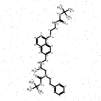 C[C@H](CN(CCc1ccccc1)C(=O)OC(C)(C)C)NCc1ccc2c(SCCNC(=O)OC(C)(C)C)nccc2c1